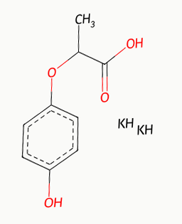 CC(Oc1ccc(O)cc1)C(=O)O.[KH].[KH]